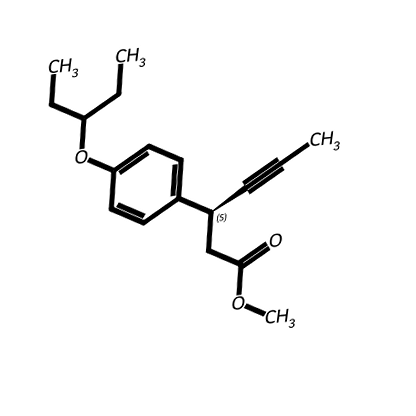 CC#C[C@@H](CC(=O)OC)c1ccc(OC(CC)CC)cc1